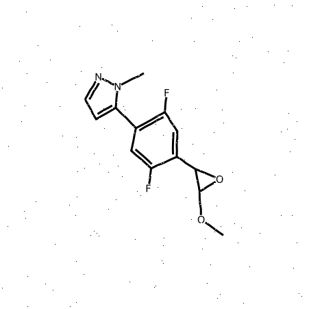 COC1OC1c1cc(F)c(-c2ccnn2C)cc1F